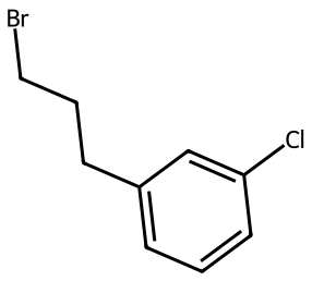 Clc1cccc(CCCBr)c1